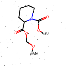 CNOCOC(=O)C1CCCCN1C(=O)OC(C)(C)C